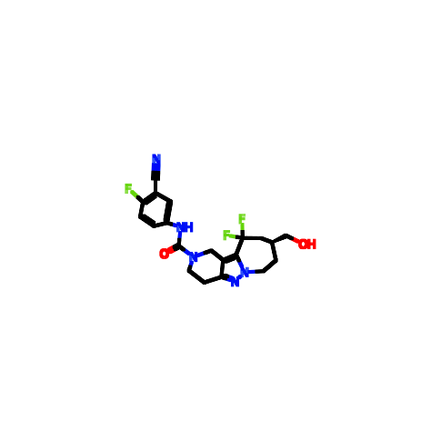 N#Cc1cc(NC(=O)N2CCc3nn4c(c3C2)C(F)(F)C[C@@H](CO)CC4)ccc1F